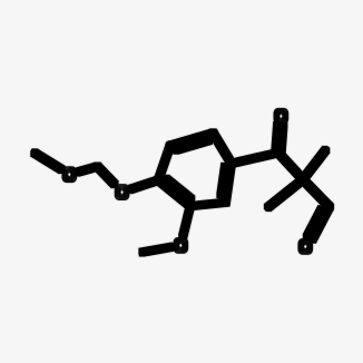 COCOc1ccc(C(=O)C(C)(C)C=O)cc1OC